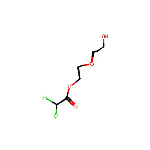 O=C(OCCOCCO)C(Cl)Cl